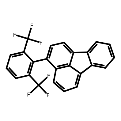 FC(F)(F)c1cccc(C(F)(F)F)c1-c1ccc2c3c(cccc13)-c1ccccc1-2